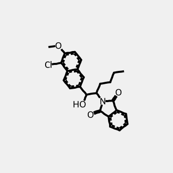 CCCCC(C(O)c1ccc2c(Cl)c(OC)ccc2c1)N1C(=O)c2ccccc2C1=O